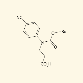 CCC(C)OC(=O)N(CCC(=O)O)c1ccc(C#N)cc1